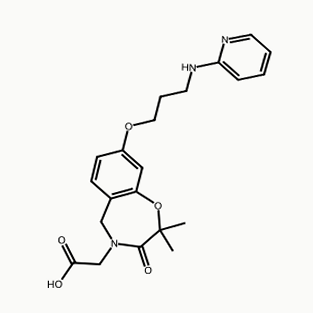 CC1(C)Oc2cc(OCCCNc3ccccn3)ccc2CN(CC(=O)O)C1=O